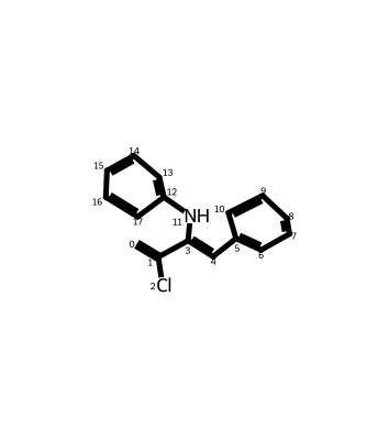 C=C(Cl)C(=Cc1ccccc1)Nc1ccccc1